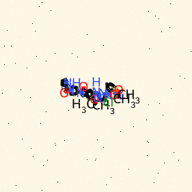 CC(C)Oc1cc2c(cc1Nc1ncc(Cl)c(Nc3ccccc3S(=O)(=O)C(C)C)n1)C(=O)N(C1CCN(C(=O)[C@@H]3CCCN3)CC1)C2